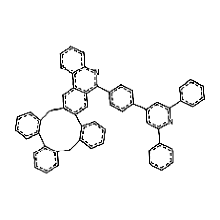 c1ccc(-c2cc(-c3ccc(-c4nc5ccccc5c5cc6c(cc45)-c4ccccc4Cc4ccccc4-c4ccccc4C6)cc3)cc(-c3ccccc3)n2)cc1